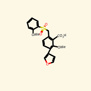 COc1ccccc1S(=O)(=O)Cc1ccc(-c2ccoc2)c(OC)c1C(=O)O